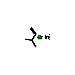 C=CC(C)C.[Br].[In]